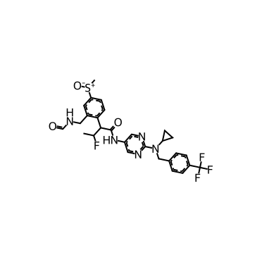 CC(F)C(C(=O)Nc1cnc(N(Cc2ccc(C(F)(F)F)cc2)C2CC2)nc1)c1ccc([S+](C)[O-])cc1CNC=O